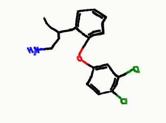 CC(CN)c1ccccc1Oc1ccc(Cl)c(Cl)c1